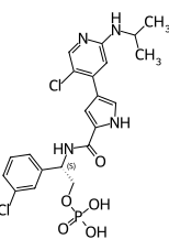 CC(C)Nc1cc(-c2c[nH]c(C(=O)N[C@H](COP(=O)(O)O)c3cccc(Cl)c3)c2)c(Cl)cn1